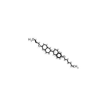 CC=CCOC1CCC2CC(C3CCc4cc(OCCCCCC)ccc4C3)CCC2C1